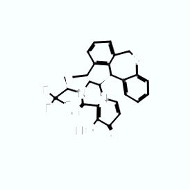 CCc1cccc2c1[C@H](C1CN([C@H](C)C(F)(F)F)C(=O)c3c(O)c(=O)ccn31)c1ccccc1SC2